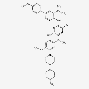 CCc1cc(Nc2ncc(Br)c(Nc3ccc(-c4cnc(OC)nc4)cc3P(C)C)n2)c(OC)cc1N1CCC(N2CCN(C)CC2)CC1